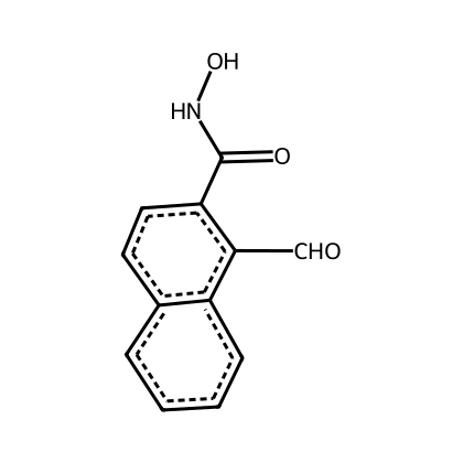 O=Cc1c(C(=O)NO)ccc2ccccc12